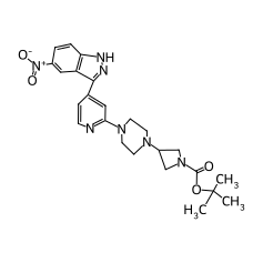 CC(C)(C)OC(=O)N1CC(N2CCN(c3cc(-c4n[nH]c5ccc([N+](=O)[O-])cc45)ccn3)CC2)C1